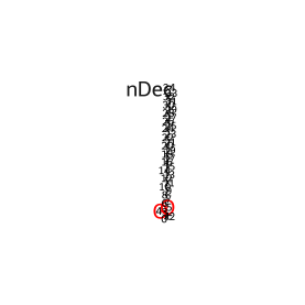 C=C(C)C(=O)OCCCCCCCCCCCCCCCCCCCCCCCCCCCCCCCCCCCCCC